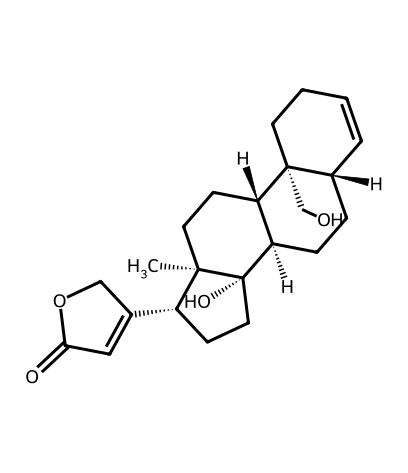 C[C@]12CC[C@H]3[C@@H](CC[C@H]4C=CCC[C@@]43CO)[C@@]1(O)CC[C@@H]2C1=CC(=O)OC1